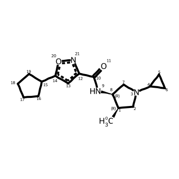 C[C@@H]1CN(C2CC2)C[C@@H]1NC(=O)c1cc(C2CCCC2)on1